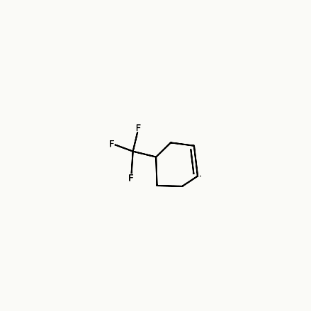 FC(F)(F)C1CC=[C]CC1